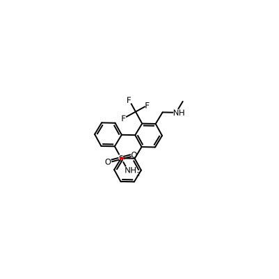 CNCc1ccc(-c2ccccc2)c(-c2ccccc2S(N)(=O)=O)c1C(F)(F)F